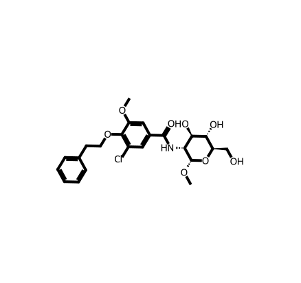 COc1cc(C(=O)N[C@H]2[C@@H](OC)O[C@H](CO)[C@@H](O)[C@@H]2O)cc(Cl)c1OCCc1ccccc1